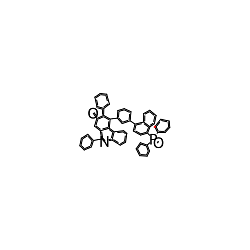 O=P(c1ccccc1)(c1ccccc1)c1ccc(-c2cccc(-c3c4c(cc5c(-c6ccccc6)nc6ccccc6c35)oc3ccccc34)c2)c2ccccc12